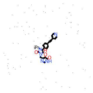 CC(C)N1C(=O)N(Cc2nc[nH]c(=O)c2O)CC1c1ccc(C#Cc2ccncc2)cc1